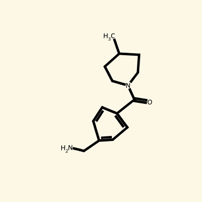 CC1CCN(C(=O)c2ccc(CN)cc2)CC1